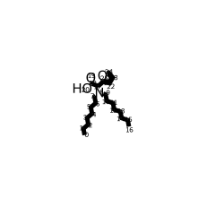 CCCCCCCCN(CCCCCCCC)C(C(=O)O)c1ccco1